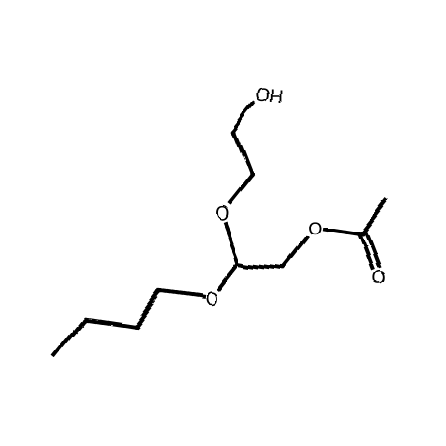 CCCCOC(COC(C)=O)OCCO